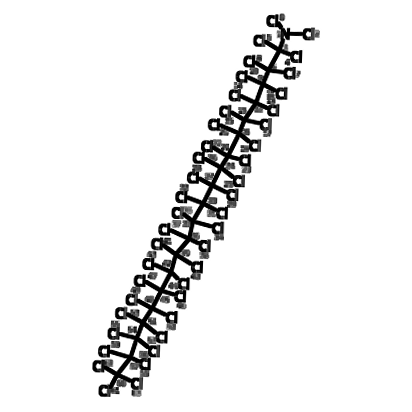 ClN(Cl)C(Cl)(Cl)C(Cl)(Cl)C(Cl)(Cl)C(Cl)(Cl)C(Cl)(Cl)C(Cl)(Cl)C(Cl)(Cl)C(Cl)(Cl)C(Cl)(Cl)C(Cl)(Cl)C(Cl)(Cl)C(Cl)(Cl)C(Cl)(Cl)C(Cl)(Cl)C(Cl)(Cl)C(Cl)(Cl)C(Cl)(Cl)C(Cl)(Cl)C(Cl)(Cl)C(Cl)(Cl)Cl